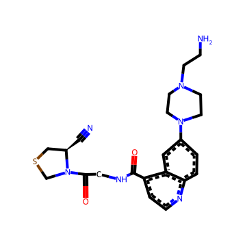 N#C[C@@H]1CSCN1C(=O)CNC(=O)c1ccnc2ccc(N3CCN(CCN)CC3)cc12